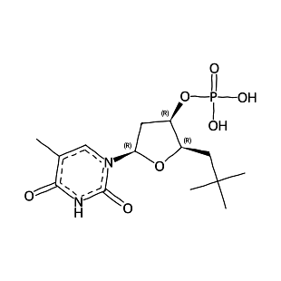 Cc1cn([C@H]2C[C@@H](OP(=O)(O)O)[C@@H](CC(C)(C)C)O2)c(=O)[nH]c1=O